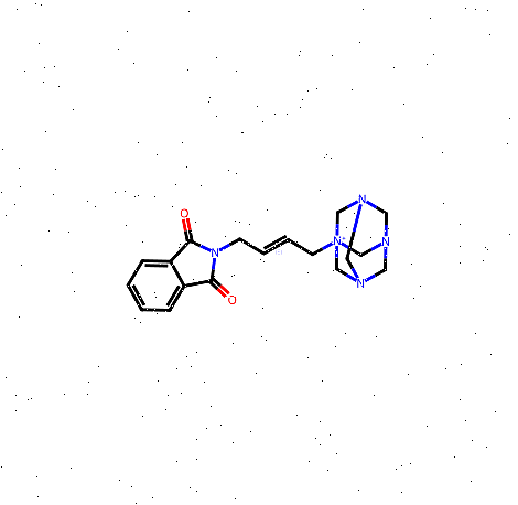 O=C1c2ccccc2C(=O)N1C/C=C/C[N+]12CN3CN(CN(C3)C1)C2